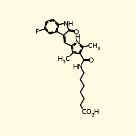 Cc1[nH]c(C=C2C(=O)Nc3ccc(F)cc32)c(C)c1C(=O)NCCCCCCC(=O)O